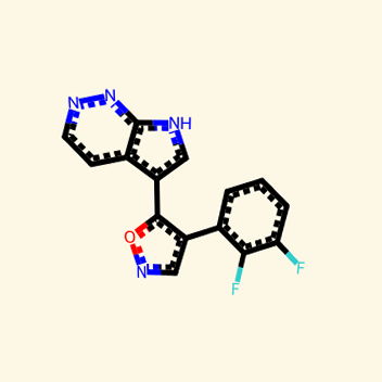 Fc1cccc(-c2cnoc2-c2c[nH]c3nnccc23)c1F